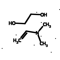 C=CN(C)C.OCCO